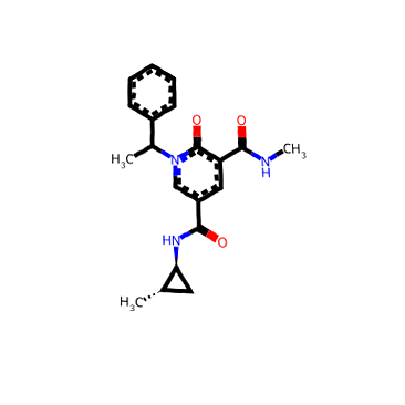 CNC(=O)c1cc(C(=O)N[C@H]2C[C@@H]2C)cn(C(C)c2ccccc2)c1=O